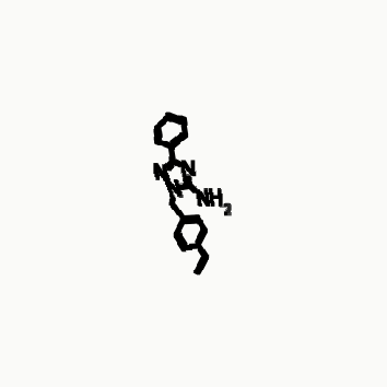 C=Cc1ccc(Cn2nc(-c3ccccc3)nc2N)cc1